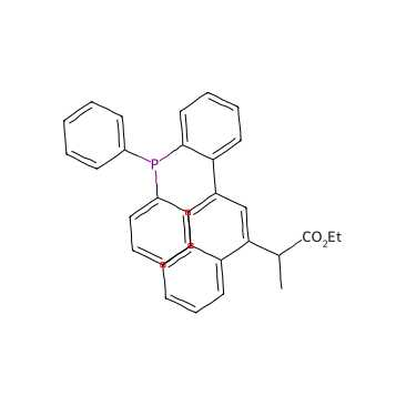 CCOC(=O)C(C)c1cc(-c2ccccc2P(c2ccccc2)c2ccccc2)cc2ccccc12